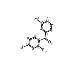 O=C(c1ccnc(Cl)c1)c1ccc(F)cc1F